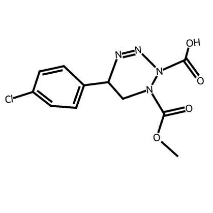 COC(=O)N1CC(c2ccc(Cl)cc2)N=NN1C(=O)O